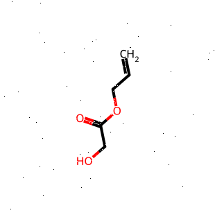 C=CCOC(=O)CO